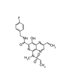 C=Cc1cnc2c(N(C)S(=O)(=O)C=C)nc(C(=O)NCc3ccc(F)cc3)c(O)c2n1